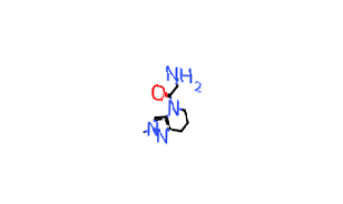 Cn1cc2c(n1)CCCN2C(=O)CN